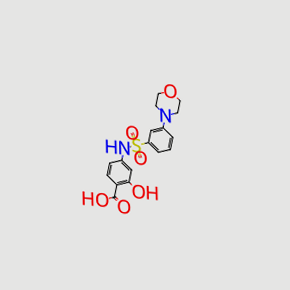 O=C(O)c1ccc(NS(=O)(=O)c2cccc(N3CCOCC3)c2)cc1O